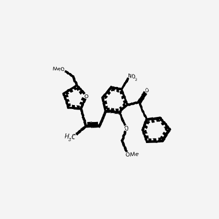 COCOc1c(C=C(C)c2ccc(COC)o2)ccc([N+](=O)[O-])c1C(=O)c1ccccc1